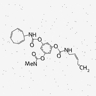 C=C/C=C\CNC(=O)Oc1cc(OC(=O)NC)cc(OC(=O)NC2/C=C\C=C/C/C=C\2)c1